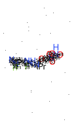 CC(C)N(C1CCN(C2NCC(c3ccc4c5cnccc5n(C(F)F)c4c3)C[C@H]2F)CC1)C1CC(Oc2ccc3c(c2)C(=O)N(C2CCC(=O)NC2=O)C3=O)C1